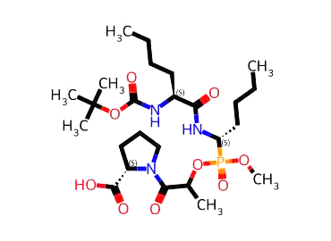 CCCC[C@H](NC(=O)OC(C)(C)C)C(=O)N[C@H](CCCC)P(=O)(OC)OC(C)C(=O)N1CCC[C@H]1C(=O)O